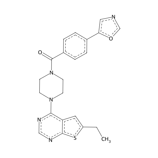 CCc1cc2c(N3CCN(C(=O)c4ccc(-c5cnco5)cc4)CC3)ncnc2s1